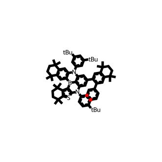 CC(C)(C)c1ccc(N2c3cc(-c4cc5c(cc4-c4ccccc4)C(C)(C)CCC5(C)C)cc4c3B(c3cc5c(cc3N4c3cc(C(C)(C)C)cc(C(C)(C)C)c3)C(C)(C)CCC5(C)C)c3c2sc2c3C(C)(C)CCC2(C)C)cc1